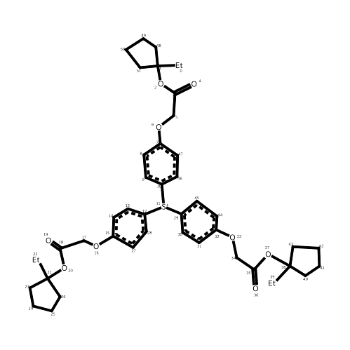 CCC1(OC(=O)COc2ccc([S+](c3ccc(OCC(=O)OC4(CC)CCCC4)cc3)c3ccc(OCC(=O)OC4(CC)CCCC4)cc3)cc2)CCCC1